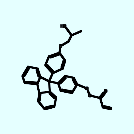 C=CC(=O)OOc1ccc(C2(c3ccc(OCC(C)O)cc3)c3ccccc3-c3ccccc32)cc1